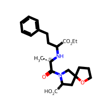 CCOC(=O)C(CCc1ccccc1)N[C@@H](C)C(=O)N1CC2(CCCO2)CC1C(=O)O